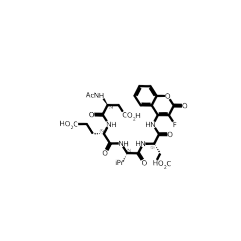 CC(=O)N[C@@H](CC(=O)O)C(=O)N[C@@H](CCC(=O)O)C(=O)N[C@H](C(=O)N[C@@H](CC(=O)O)C(=O)Nc1c(F)c(=O)oc2ccccc12)C(C)C